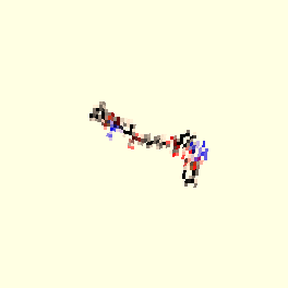 Cc1cccc(S(=O)(=O)NC(=O)Nc2cccc(C(=O)OCCCCCCCOC(=O)c3cccc(NC(=O)NS(=O)(=O)c4cccc(C)c4)c3)c2)c1